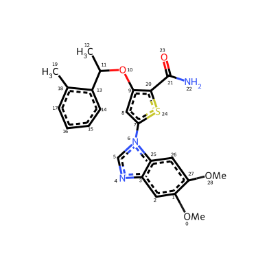 COc1cc2ncn(-c3cc(OC(C)c4ccccc4C)c(C(N)=O)s3)c2cc1OC